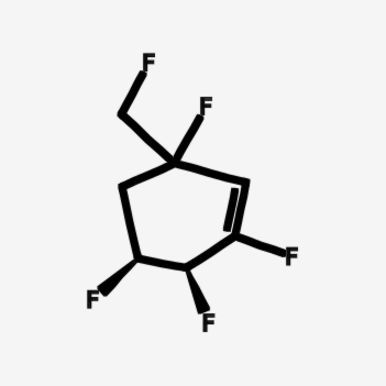 FCC1(F)C=C(F)[C@@H](F)[C@@H](F)C1